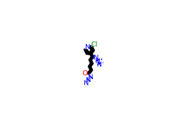 [N-]=[N+]=NC(=O)CCCCC(N=[N+]=[N-])c1ccnc(Cl)c1